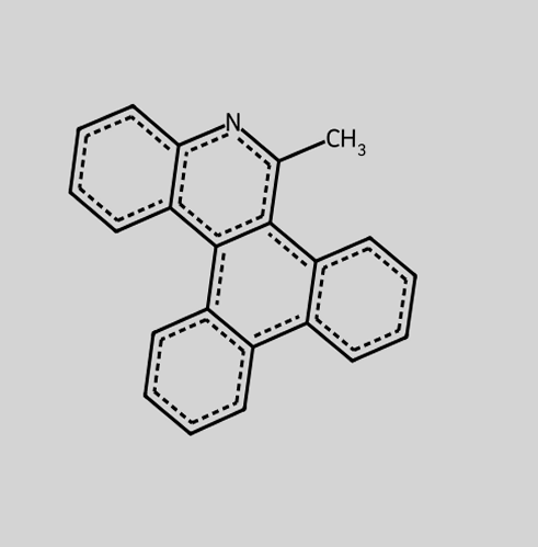 Cc1nc2ccccc2c2c3ccccc3c3ccccc3c12